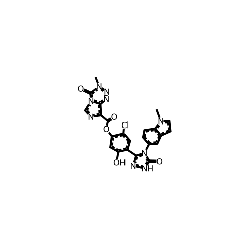 Cn1nnc2c(C(=O)Oc3cc(O)c(-c4n[nH]c(=O)n4-c4ccc5c(ccn5C)c4)cc3Cl)ncn2c1=O